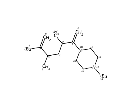 C=C(C(C)CC(C)C(=C)C(C)(C)C)N1CCN(C(C)(C)C)CC1